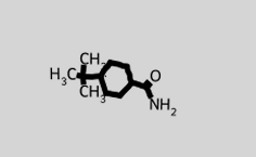 CC(C)(C)[C]1CCC(C(N)=O)CC1